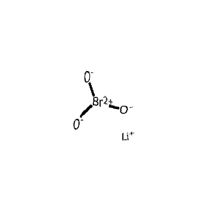 [Li+].[O-][Br+2]([O-])[O-]